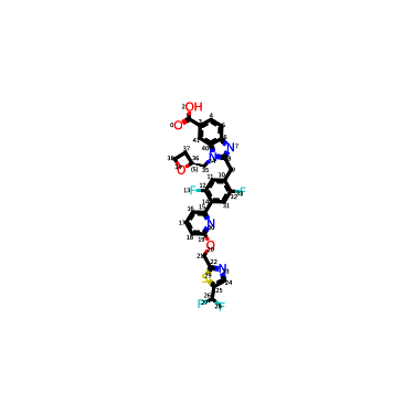 O=C(O)c1ccc2nc(Cc3cc(F)c(-c4cccc(OCc5ncc(C(F)F)s5)n4)cc3F)n(C[C@@H]3CCO3)c2c1